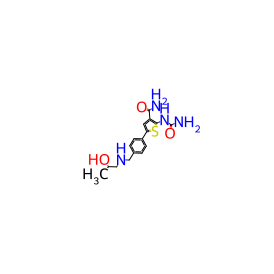 C[C@@H](O)CNCc1ccc(-c2cc(C(N)=O)c(NC(N)=O)s2)cc1